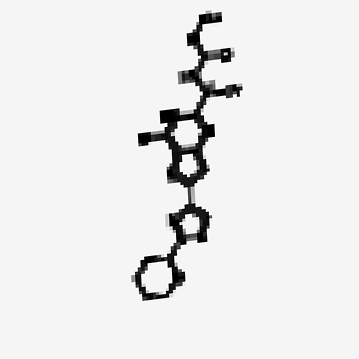 CC(C)[C@H](NC(=O)OC(C)(C)C)c1nc2cc(-c3cnn(C4CCCCO4)n3)sc2c(=O)[nH]1